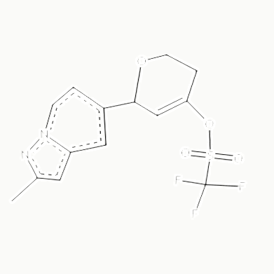 Cc1cc2cc(C3C=C(OS(=O)(=O)C(F)(F)F)CCO3)ccn2n1